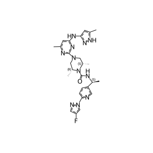 Cc1cc(Nc2cc(C)[nH]n2)nc(N2C[C@@H](C)N(C(=O)N[C@@H](C)c3ccc(-n4cc(F)cn4)nc3)[C@@H](C)C2)n1